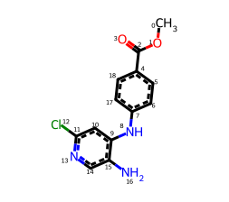 COC(=O)c1ccc(Nc2cc(Cl)ncc2N)cc1